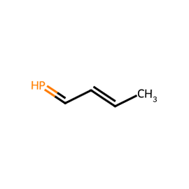 CC=CC=P